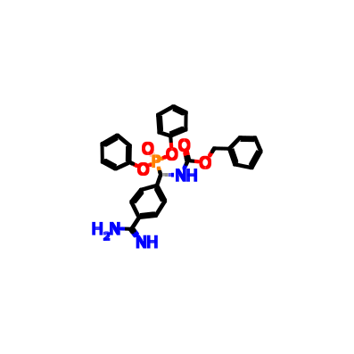 N=C(N)c1ccc([C@@H](NC(=O)OCc2ccccc2)P(=O)(Oc2ccccc2)Oc2ccccc2)cc1